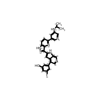 CC(C)Nc1cncc(-c2ccc3[nH]nc(-c4cc5c(-c6cc(O)cc(F)c6)cncc5[nH]4)c3n2)c1